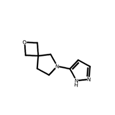 c1cc(N2CCC3(COC3)C2)[nH]n1